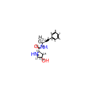 C[C@@H](C#Cc1ccccc1)NC(=O)[C@@H]1C[C@@H](O)CN1